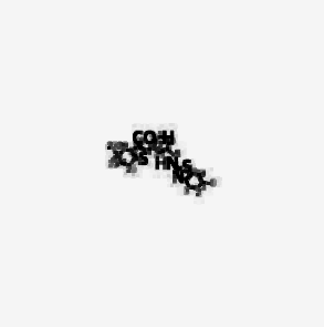 Cc1ccc2nc(NCc3cccc(-c4sc5c(c4C(=O)O)CC(C)(C)CC5)c3)sc2c1